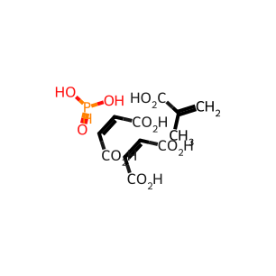 C=C(C)C(=O)O.O=C(O)/C=C\C(=O)O.O=C(O)/C=C\C(=O)O.O=[PH](O)O